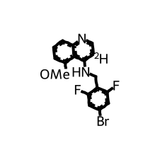 [2H]c1cnc2cccc(OC)c2c1NCc1c(F)cc(Br)cc1F